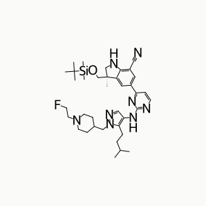 CC(C)CCc1c(Nc2nccc(-c3cc(C#N)c4c(c3)[C@@](C)(CO[Si](C)(C)C(C)(C)C)CN4)n2)cnn1CC1CCN(CCF)CC1